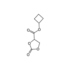 O=C1OCC(C(=O)OC2CCC2)O1